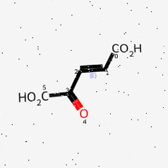 O=C(O)/C=C/C(=O)C(=O)O